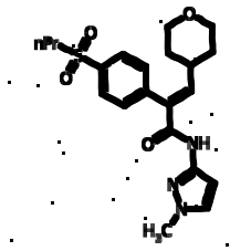 CCCS(=O)(=O)c1ccc(/C(=C\C2CCOCC2)C(=O)Nc2ccn(C)n2)cc1